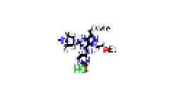 CCOCCn1nc(COC)c2nc(N3CCN[C@H](C)C3)nc(Nc3ccncn3)c21.Cl.Cl